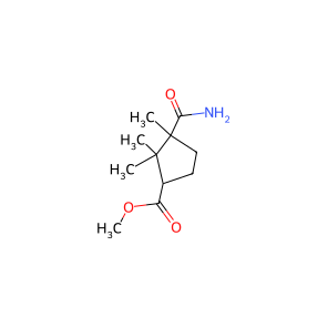 COC(=O)C1CCC(C)(C(N)=O)C1(C)C